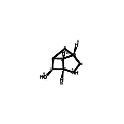 O[C@H]1C2C[C@@H]3CN[C@H]1[C@H]23